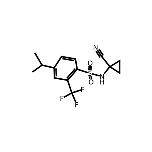 CC(C)c1ccc(S(=O)(=O)NC2(C#N)CC2)c(C(F)(F)F)c1